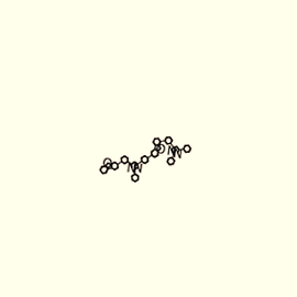 c1ccc(-c2cc(-c3cccc(-c4cccc5c4oc4ccc(-c6ccc(-c7cc(-c8cccc(-c9ccc%10c(c9)oc9ccccc9%10)c8)nc(-c8ccccc8)n7)cc6)cc45)c3)nc(-c3ccccc3)n2)cc1